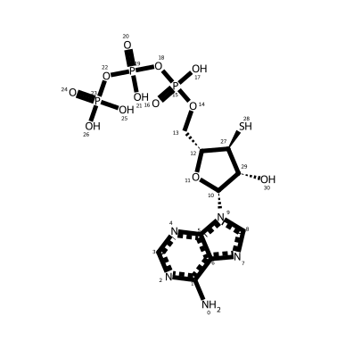 Nc1ncnc2c1ncn2[C@@H]1O[C@H](COP(=O)(O)OP(=O)(O)OP(=O)(O)O)[C@@H](S)[C@@H]1O